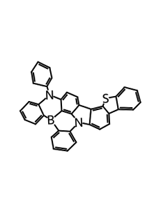 c1ccc(N2c3ccccc3B3c4ccccc4-n4c5ccc6c7ccccc7sc6c5c5ccc2c3c54)cc1